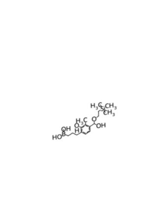 Cc1c(C(O)OCC[Si](C)(C)C)ccc(CCCB(O)O)c1O